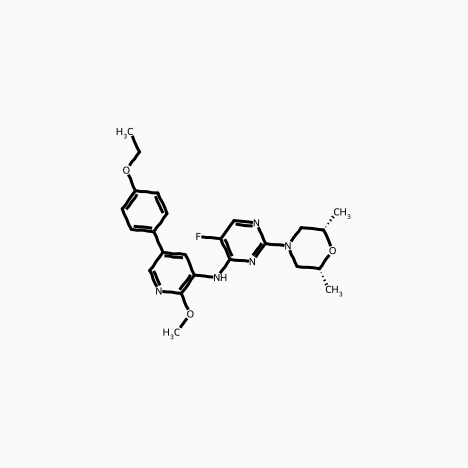 CCOc1ccc(-c2cnc(OC)c(Nc3nc(N4C[C@@H](C)O[C@@H](C)C4)ncc3F)c2)cc1